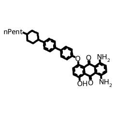 CCCCCC1CCC(c2ccc(-c3ccc(Oc4ccc(O)c5c4C(=O)c4c(N)ccc(N)c4C5=O)cc3)cc2)CC1